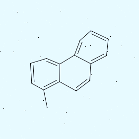 Cc1cccc2c1ccc1ccccc12